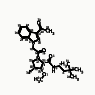 CO[C@H]1[C@@H](C(=O)NCCC(C)(C)C)N(C(=O)Cn2nc(C(C)=O)c3ccccc32)C[C@@H]1F